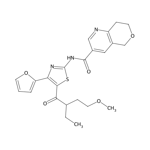 CCC(CCOC)C(=O)c1sc(NC(=O)c2cnc3c(c2)COCC3)nc1-c1ccco1